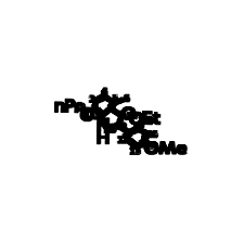 CCCOc1ccc(C)c2c(=O)c(-c3ccc(OC)cc3OCC)c[nH]c12